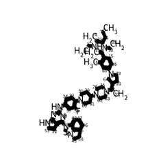 C=CNC(=C)C(CCC)N(C=C)C(=C)c1ccc(N2CCC(C(=C)N3CCN(C4CCN(c5ccc(Nc6nc(N7SN8CCc9cccc7c98)c7cc[nH]c7n6)cc5F)CC4)CC3)C2)cc1C